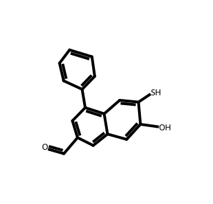 O=Cc1cc(-c2ccccc2)c2cc(S)c(O)cc2c1